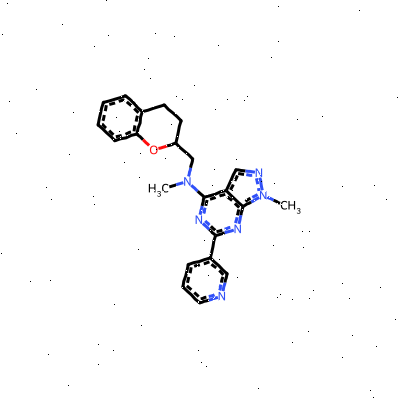 CN(CC1CCc2ccccc2O1)c1nc(-c2cccnc2)nc2c1cnn2C